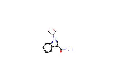 NC(=O)c1cn(C2COC2)c2ccccc12